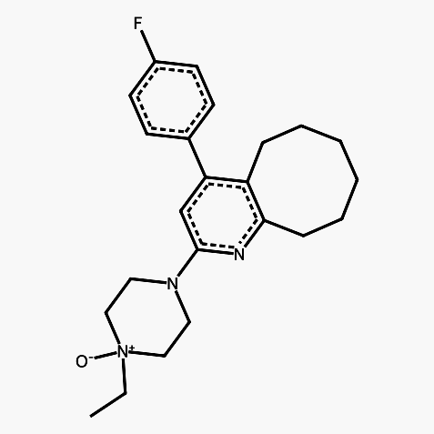 CC[N+]1([O-])CCN(c2cc(-c3ccc(F)cc3)c3c(n2)CCCCCC3)CC1